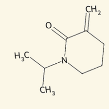 C=C1CCCN(C(C)C)C1=O